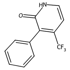 O=c1[nH]ccc(C(F)(F)F)c1-c1ccccc1